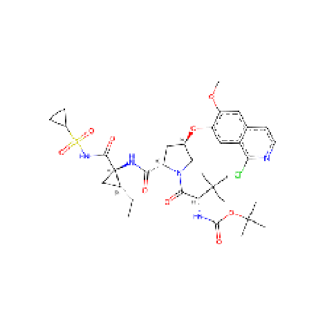 CC[C@@H]1C[C@]1(NC(=O)[C@@H]1C[C@@H](Oc2cc3c(Cl)nccc3cc2OC)CN1C(=O)[C@@H](NC(=O)OC(C)(C)C)C(C)(C)C)C(=O)NS(=O)(=O)C1CC1